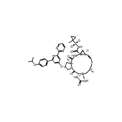 CC(C)Oc1ccc(-c2cc(O[C@@H]3C[C@H]4C(=O)N[C@]5(C(=O)NS(=O)(=O)C6(C)CC6)C[C@H]5/C=C\CC[C@@H](C)C[C@@H](C)[C@H](NC(=O)O)C(=O)N4C3)cc(-c3ncccn3)n2)cc1